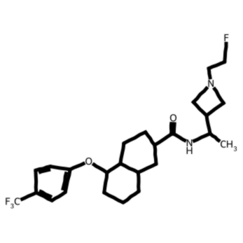 CC(NC(=O)C1CCC2C(CCCC2Oc2ccc(C(F)(F)F)cc2)C1)C1CN(CCF)C1